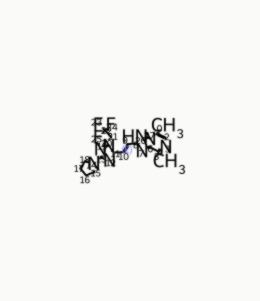 CC1=CN=C(C)C2=NC(/C=C/c3nc(N4CCCC4)nn3CC(F)(F)F)NN12